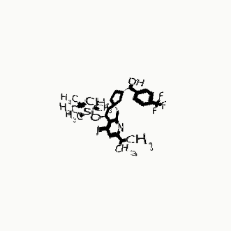 CC(C)c1cc(I)c2c(n1)C[C@@]1(CC[C@H](C(O)c3ccc(C(F)(F)F)cc3)C1)C[C@@H]2O[Si](C)(C)C(C)(C)C